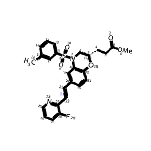 COC(=O)CC[C@H]1CN(S(=O)(=O)c2cccc(C)c2)c2cc(/C=C/c3ncccc3F)ccc2O1